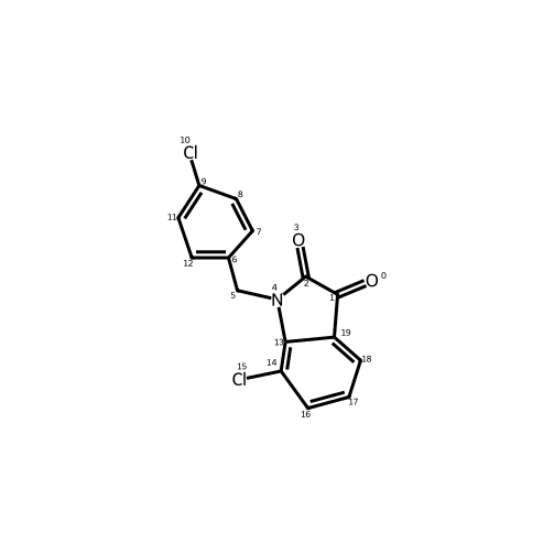 O=C1C(=O)N(Cc2ccc(Cl)cc2)c2c(Cl)cccc21